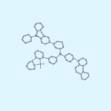 CC1(C)c2ccccc2-c2cccc(-c3cccc(N(c4ccc(-c5cccc6c5ccc5ccccc56)cc4)c4cccc(-c5ccc6c(c5)c5ccccc5n6-c5ccccc5)c4)c3)c21